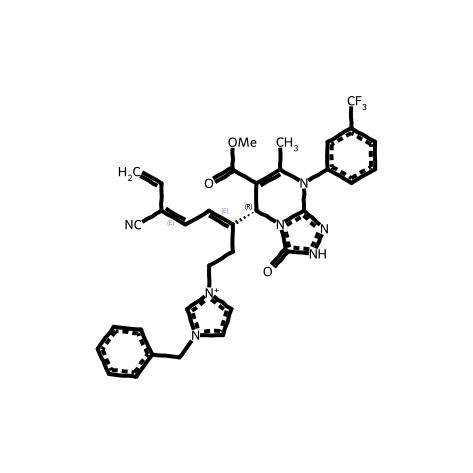 C=C/C(C#N)=C\C=C(/CC[n+]1ccn(Cc2ccccc2)c1)[C@@H]1C(C(=O)OC)=C(C)N(c2cccc(C(F)(F)F)c2)c2n[nH]c(=O)n21